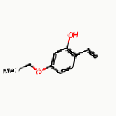 C=Cc1ccc(OCOC)cc1O